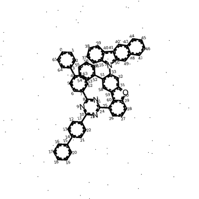 c1ccc(-c2ccc(-c3nc(-c4ccc(-c5ccccc5)cc4)nc(-c4cccc5oc6cc(-n7c8ccccc8c8cc9ccccc9cc87)c(-c7ccccc7)cc6c45)n3)cc2)cc1